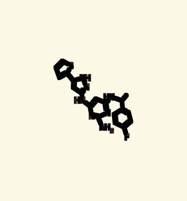 CC(Nc1cc(Nc2cc(-c3cccs3)[nH]n2)nc(N)n1)c1ccc(F)cc1